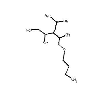 CCCCOCC(O)C(C(C)O)C(O)CO